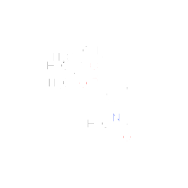 CN1C(=O)CCc2ccc(B3OC(C)(C)C(C)(C)O3)cc21